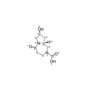 O=C(O)N1CCC(=O)N2C[C@@H](O)C[C@@H]2C1